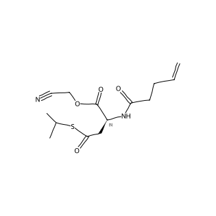 C=CCCC(=O)N[C@@H](CC(=O)SC(C)C)C(=O)OCC#N